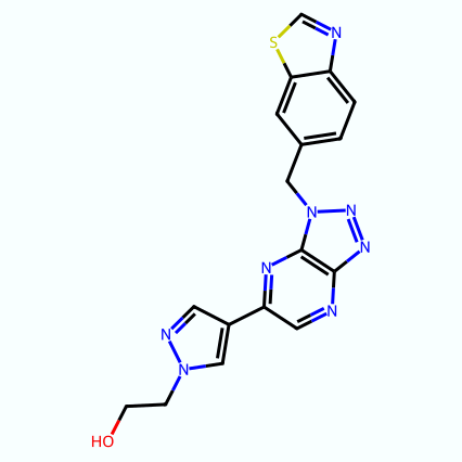 OCCn1cc(-c2cnc3nnn(Cc4ccc5ncsc5c4)c3n2)cn1